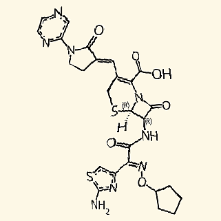 Nc1nc(C(=NOC2CCCC2)C(=O)N[C@@H]2C(=O)N3C(C(=O)O)=C(C=C4CCN(c5cnccn5)C4=O)CS[C@H]23)cs1